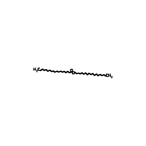 CCCCCCCCCCCCCCCCCCCOC(=O)CCCCCCCCCCCCCCCCCC